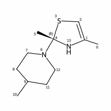 CC1=CS[C@@](C)(N2CCC(C)CC2)N1